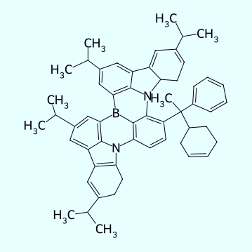 CC(C)C1=CCC2C(=C1)c1cc(C(C)C)cc3c1N2c1c(C(C)(c2ccccc2)C2CC=CCC2)ccc2c1B3c1cc(C(C)C)cc3c4c(n-2c13)CCC(C(C)C)=C4